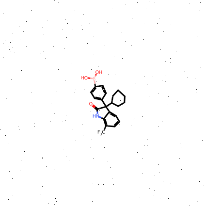 O=C1Nc2c(C(F)(F)F)cccc2C1(c1ccc(B(O)O)cc1)C1CCCCC1